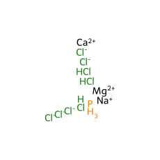 Cl.Cl.Cl.P.[Ca+2].[Cl-].[Cl-].[Cl-].[Cl-].[Cl-].[Mg+2].[Na+]